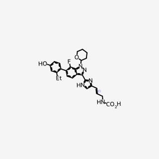 CCc1cc(O)ccc1-c1ccc2c(-c3nc(/C=C/CNC(=O)O)c[nH]3)nn(C3CCCCO3)c2c1F